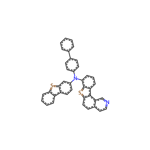 c1ccc(-c2ccc(N(c3ccc4c(c3)sc3ccccc34)c3cccc4c3sc3ccc5ccncc5c34)cc2)cc1